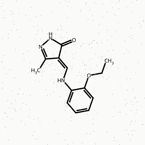 CCOc1ccccc1N/C=C1/C(=O)NN=C1C